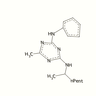 CCCCCC(C)Nc1nc(C)nc(Nc2ccccc2)n1